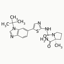 CC(C)(C)n1cnc2ccc(-c3cnc(NC(=O)N4CCC[C@@]4(C)C(N)=O)s3)cc21